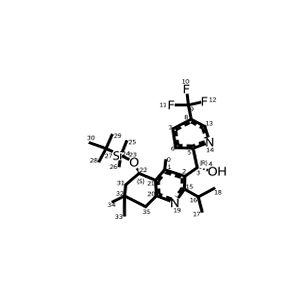 Cc1c([C@@H](O)c2ccc(C(F)(F)F)cn2)c(C(C)C)nc2c1[C@@H](O[Si](C)(C)C(C)(C)C)CC(C)(C)C2